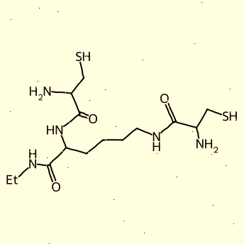 CCNC(=O)C(CCCCNC(=O)C(N)CS)NC(=O)C(N)CS